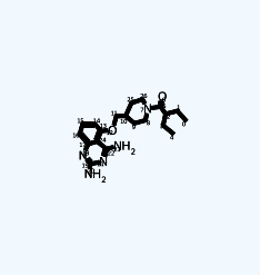 CCC(CC)C(=O)N1CCC(COc2cccc3nc(N)nc(N)c23)CC1